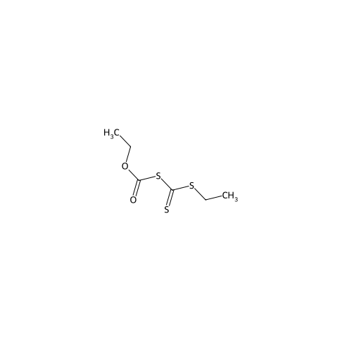 CCOC(=O)SC(=S)SCC